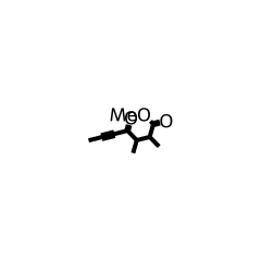 CC#CC(=O)C(C)C(C)C(=O)OC